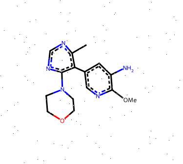 COc1ncc(-c2c(C)ncnc2N2CCOCC2)cc1N